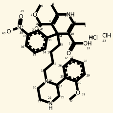 COC(=O)C1=C(C)NC(C)=C(C(=O)O)C1(CCCCN1CCNCC1c1ccccc1OC)c1cccc([N+](=O)[O-])c1.Cl.Cl